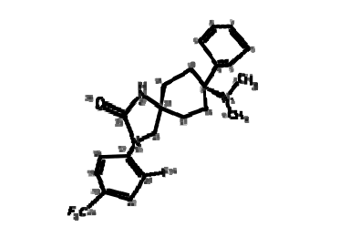 CN(C)[C@]1(c2ccccc2)CC[C@@]2(CC1)CN(c1ccc(C(F)(F)F)cc1F)C(=O)N2